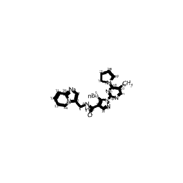 CCCCc1c(C(=O)NCc2cnc3ccccn23)cnn1-c1ncc(C)c(N2CCCC2)n1